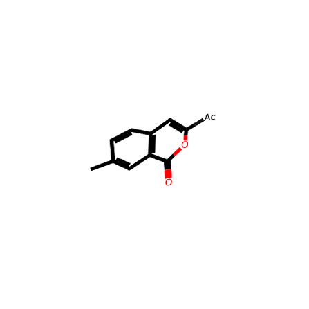 CC(=O)c1cc2ccc(C)cc2c(=O)o1